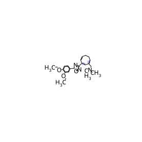 CCOc1ccc(-c2nc(/C3=C/C(CN(C)C)=C\CCC=C3)no2)cc1OCC